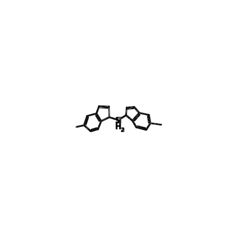 Cc1ccc2c(c1)C=CC2[SiH2]C1C=Cc2cc(C)ccc21